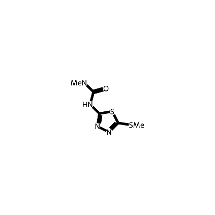 CNC(=O)Nc1nnc(SC)s1